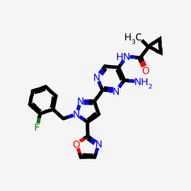 CC1(C(=O)Nc2cnc(-c3cc(-c4ncco4)n(Cc4ccccc4F)n3)nc2N)CC1